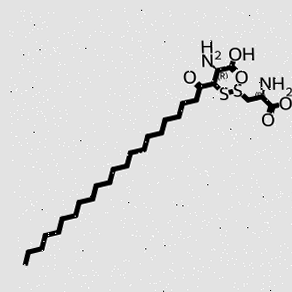 CCCCCCCCCCCCCCCCCCCCCC(=O)C(SSC[C@H](N)C(=O)O)[C@H](N)C(=O)O